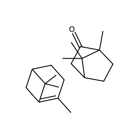 CC12CCC(CC1=O)C2(C)C.CC1=C2CC(CC1)C2(C)C